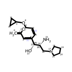 C=C(Cl)/C=C(\C=C/COC1CC1)[C@@H](O)[C@H](N)CN1CCCC1